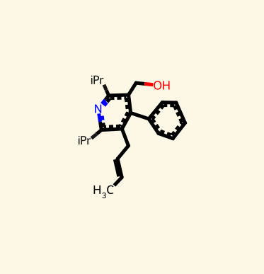 CC=CCc1c(C(C)C)nc(C(C)C)c(CO)c1-c1ccccc1